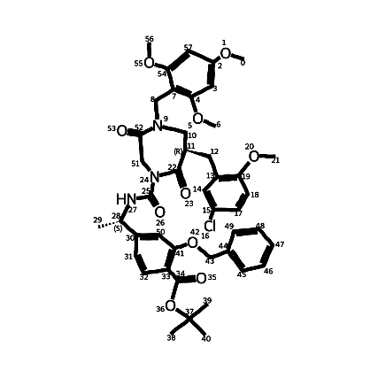 COc1cc(OC)c(CN2C[C@@H](Cc3cc(Cl)ccc3OC)C(=O)N(C(=O)N[C@@H](C)c3ccc(C(=O)OC(C)(C)C)c(OCc4ccccc4)c3)CC2=O)c(OC)c1